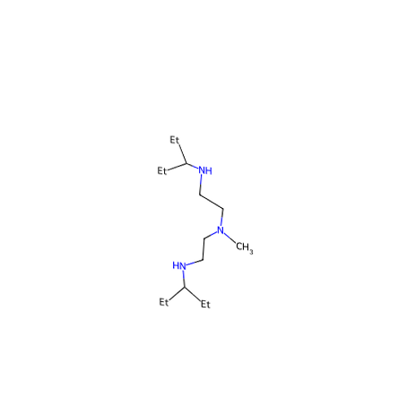 CCC(CC)NCCN(C)CCNC(CC)CC